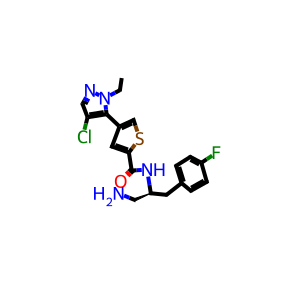 CCn1ncc(Cl)c1-c1csc(C(=O)N[C@H](CN)Cc2ccc(F)cc2)c1